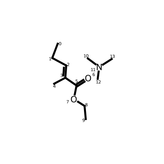 CC/C=C(\C)C(=O)OCC.CN(C)C